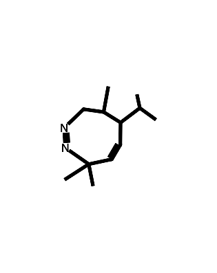 CC(C)C1/C=C\C(C)(C)/N=N\CC1C